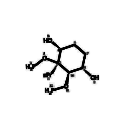 CCC[C@]1(OP)[C@H](O)CC[C@H](O)[C@H]1OP